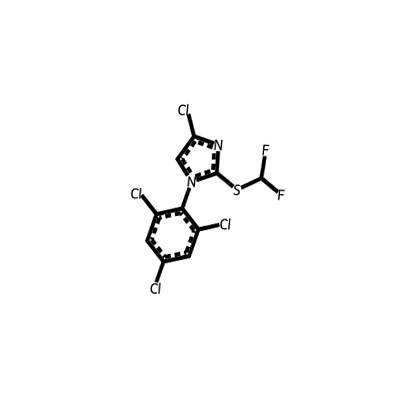 FC(F)Sc1nc(Cl)cn1-c1c(Cl)cc(Cl)cc1Cl